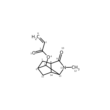 C=CC(=O)OC1C2CC3C(=O)N(C)C1C3C2